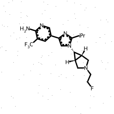 CC(C)c1nc(-c2cnc(N)c(C(F)(F)F)c2)cn1[C@@H]1[C@@H]2CN(CCF)C[C@@H]21